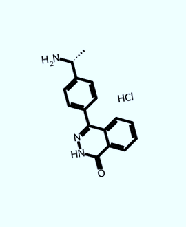 C[C@@H](N)c1ccc(-c2n[nH]c(=O)c3ccccc23)cc1.Cl